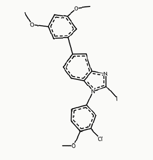 COc1cc(OC)cc(-c2ccc3c(c2)nc(I)n3-c2ccc(OC)c(Cl)c2)c1